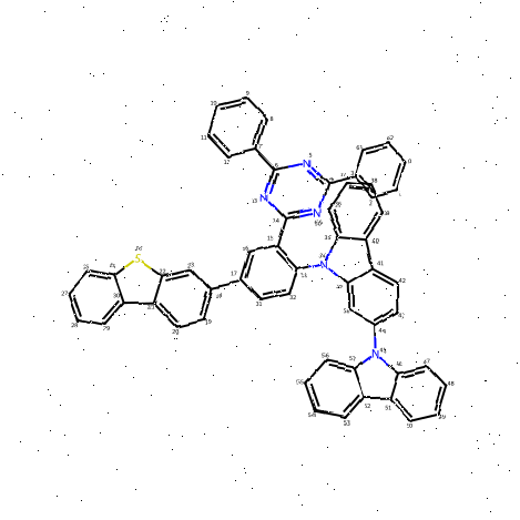 c1ccc(-c2nc(-c3ccccc3)nc(-c3cc(-c4ccc5c(c4)sc4ccccc45)ccc3-n3c4ccccc4c4ccc(-n5c6ccccc6c6ccccc65)cc43)n2)cc1